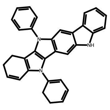 C1=CCCC(n2c3c(c4c2c2cc5[nH]c6ccccc6c5cc2n4-c2ccccc2)CCC=C3)=C1